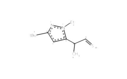 CCn1nc(C(C)(C)C)cc1C(C)C=S